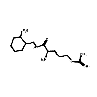 N=C(N)NCCCC(N)C(=O)NCC1CCCCC1C(=O)O